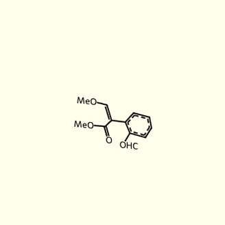 COC=C(C(=O)OC)c1ccccc1C=O